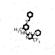 Cc1cc(SCc2ccccc2)ccc1Nc1ncc(C(F)(F)F)c(N2CCCCC2)n1